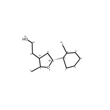 CC1O[C@@H](C2CCCCC2I)CC1CCO